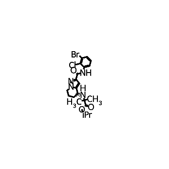 CC(C)OC(=O)C(C)(C)N[C@@H]1CCCn2nc(C(=O)Nc3cccc(Br)c3Cl)cc21